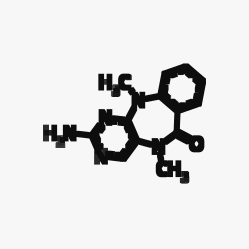 CN1C(=O)c2ccccc2N(C)c2nc(N)ncc21